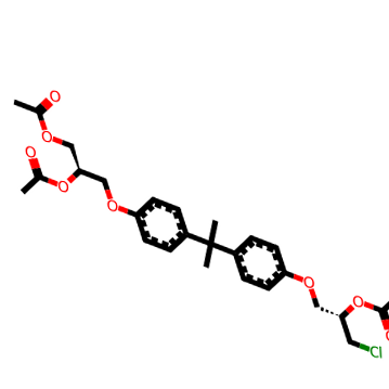 CC(=O)OC[C@@H](COc1ccc(C(C)(C)c2ccc(OC[C@@H](CCl)OC(C)=O)cc2)cc1)OC(C)=O